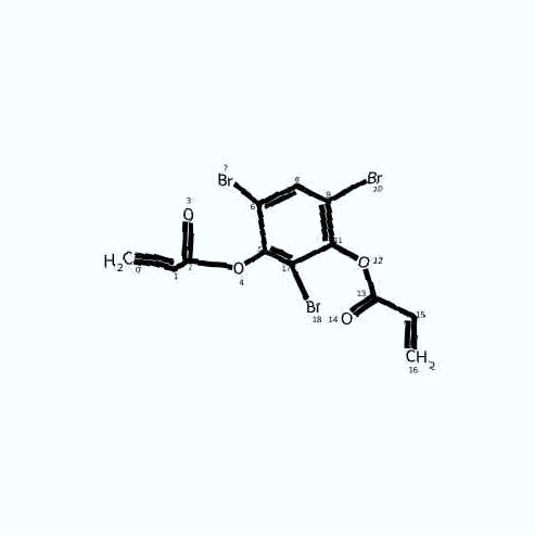 C=CC(=O)Oc1c(Br)cc(Br)c(OC(=O)C=C)c1Br